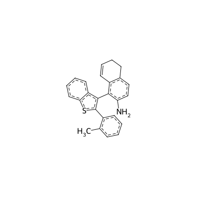 Cc1ccccc1-c1sc2ccccc2c1-c1c(N)ccc2c1C=CCC2